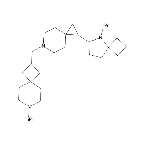 CC(C)N1CCC2(CC1)CC(CN1CCC3(CC1)CC3C1CCC3(CCC3)N1C(C)C)C2